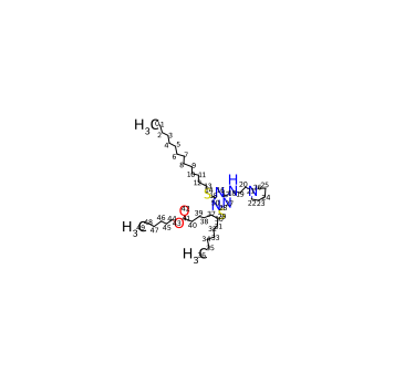 CCCCCCCCCCCCCCSc1nc(NCCN2CCCCC2)nc(SC(CCCCCC)CCCCC(=O)OCCCCCC)n1